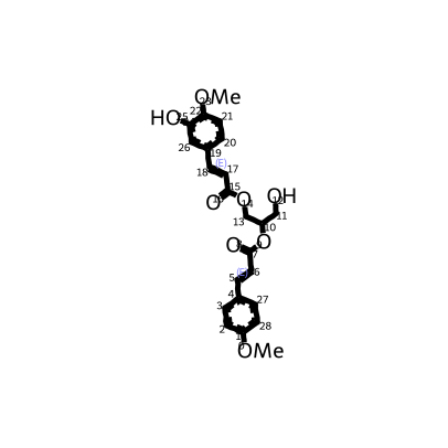 COc1ccc(/C=C/C(=O)OC(CO)COC(=O)/C=C/c2ccc(OC)c(O)c2)cc1